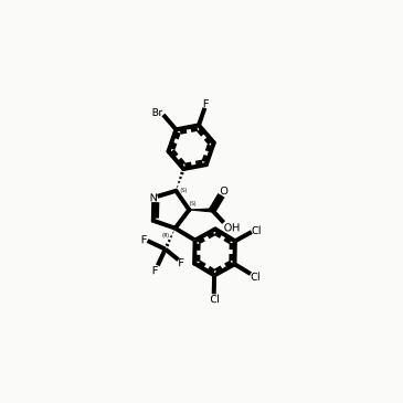 O=C(O)[C@@H]1[C@@H](c2ccc(F)c(Br)c2)N=C[C@@]1(c1cc(Cl)c(Cl)c(Cl)c1)C(F)(F)F